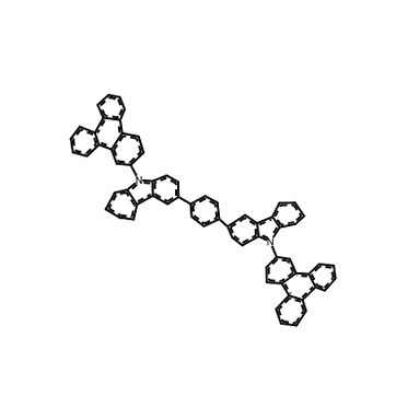 c1ccc2c(c1)c1ccccc1c1cc(-n3c4ccccc4c4cc(-c5ccc(-c6ccc7c(c6)c6ccccc6n7-c6ccc7c8ccccc8c8ccccc8c7c6)cc5)ccc43)ccc21